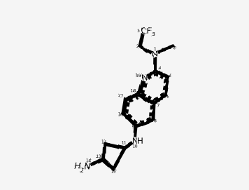 CN(CC(F)(F)F)c1ccc2cc(NC3CC(N)C3)ccc2n1